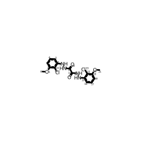 COc1cccc(NNC(=O)C(=O)NNc2cccc(OC)c2Cl)c1Cl